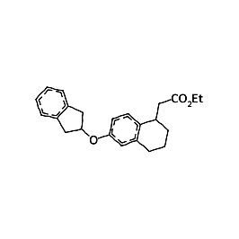 CCOC(=O)CC1CCCc2cc(OC3Cc4ccccc4C3)ccc21